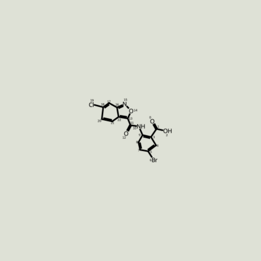 O=C(O)c1cc(Br)ccc1NC(=O)c1onc2cc(Cl)ccc12